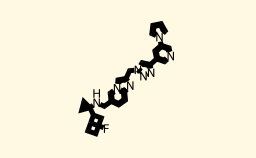 FC12CCC1C(C1(NCc3ccc4nc(Cn5cc(-c6cncc(-n7cccc7)c6)nn5)cn4c3)CC1)C2